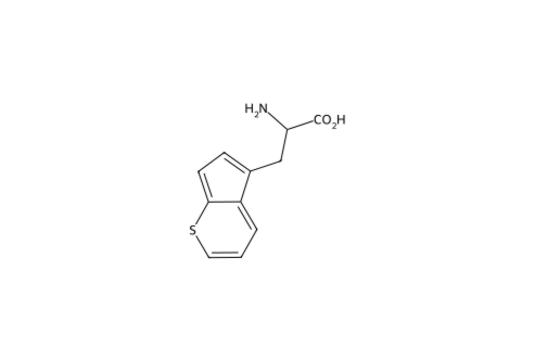 NC(Cc1ccc2scccc1-2)C(=O)O